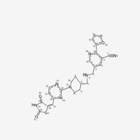 N#Cc1cc(CNCC2CCN(c3nccc(C=C4SC(=O)NC4=O)n3)CC2)cnc1-c1ccco1